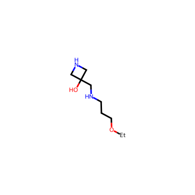 CCOCCCNCC1(O)CNC1